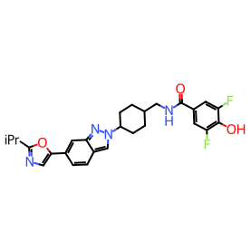 CC(C)c1ncc(-c2ccc3cn(C4CCC(CNC(=O)c5cc(F)c(O)c(F)c5)CC4)nc3c2)o1